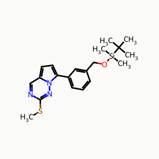 CSc1ncc2ccc(-c3cccc(CO[Si](C)(C)C(C)(C)C)c3)n2n1